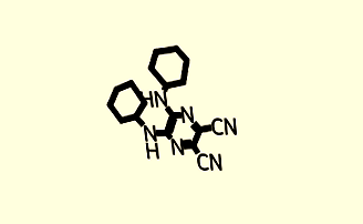 N#Cc1nc(NC2CCCCC2)c(NC2CCCCC2)nc1C#N